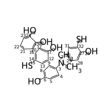 CN(C)c1ccc(O)cc1.Oc1ccc(S)cc1.Oc1ccccc1O.Oc1ccccc1S